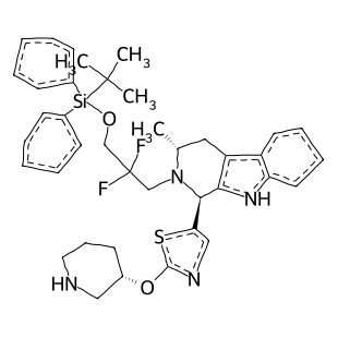 C[C@@H]1Cc2c([nH]c3ccccc23)[C@@H](c2cnc(O[C@H]3CCCNC3)s2)N1CC(F)(F)CO[Si](c1ccccc1)(c1ccccc1)C(C)(C)C